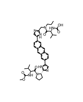 CCCN(Cc1ncc(-c2ccc3cc4cc(-c5cnc([C@@H]6CCCN6C(=O)[C@@H](NC(=O)OC)C(C)C)[nH]5)ccc4cc3c2)[nH]1)C(=O)[C@@H](NC(=O)O)C(C)C